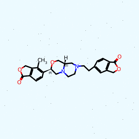 Cc1c([C@@H]2CN3CCN(CCc4ccc5c(c4)COC5=O)C[C@H]3CO2)ccc2c1COC2=O